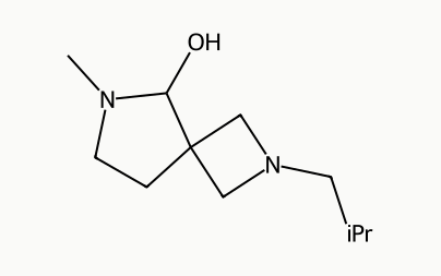 CC(C)CN1CC2(CCN(C)C2O)C1